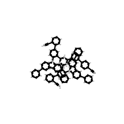 N#Cc1ccc(-c2cccc(-c3nc(-c4cc(-c5ccccc5C#N)ccc4-n4c5ccc(-c6ccccc6)cc5c5cc(-c6ccccc6)ccc54)nc(-c4cc(-c5ccccc5C#N)ccc4-n4c5ccc(-c6ccccc6)cc5c5cc(-c6ccccc6)ccc54)n3)c2)cc1